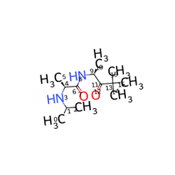 CC(C)N[C@@H](C)C(=O)N[C@@H](C)C(=O)C(C)(C)C